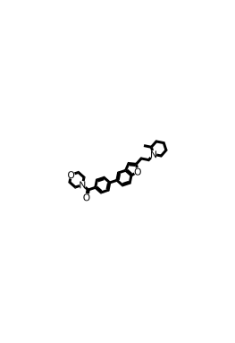 CC1CCCCN1CCc1cc2cc(-c3ccc(C(=O)N4CCOCC4)cc3)ccc2o1